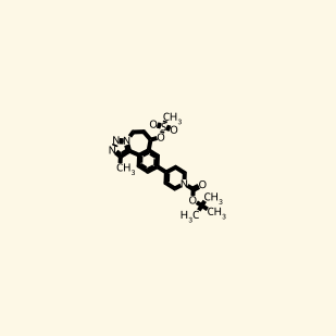 Cc1nnn2c1-c1ccc(C3=CCN(C(=O)OC(C)(C)C)CC3)cc1C(OS(C)(=O)=O)CC2